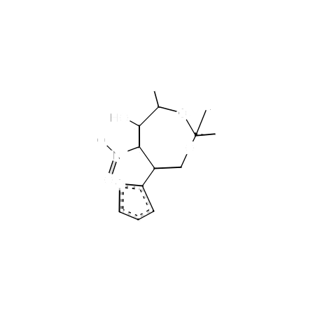 CC1OC(C)(C)OCC(c2ccco2)C([N+](=O)[O-])C1O